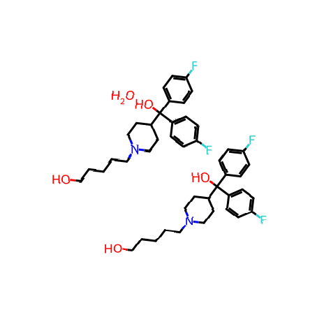 O.OCCCCCN1CCC(C(O)(c2ccc(F)cc2)c2ccc(F)cc2)CC1.OCCCCCN1CCC(C(O)(c2ccc(F)cc2)c2ccc(F)cc2)CC1